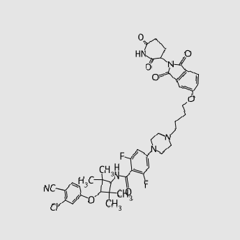 CC1(C)C(NC(=O)c2c(F)cc(N3CCN(CCCCOc4ccc5c(c4)C(=O)N(C4CCC(=O)NC4=O)C5=O)CC3)cc2F)C(C)(C)C1Oc1ccc(C#N)c(Cl)c1